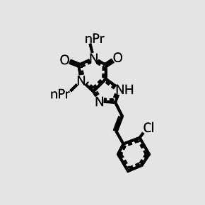 CCCn1c(=O)c2[nH]c(C=Cc3ccccc3Cl)nc2n(CCC)c1=O